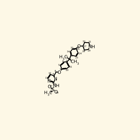 CC(C)(c1ccc(OCc2ccnc(NS(C)(=O)=O)n2)cc1)c1ccc(OC2CCNCC2)cc1